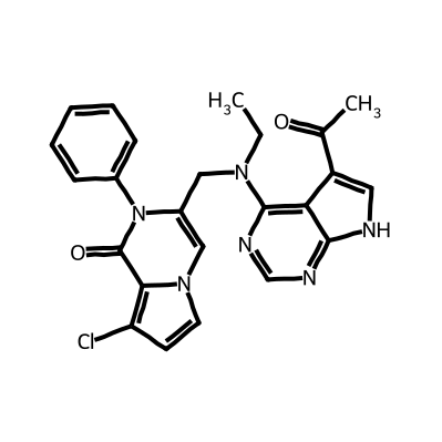 CCN(Cc1cn2ccc(Cl)c2c(=O)n1-c1ccccc1)c1ncnc2[nH]cc(C(C)=O)c12